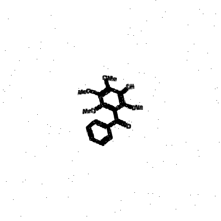 COc1c(O)c(OC)c(C(=O)c2ccccc2)c(OC)c1OC